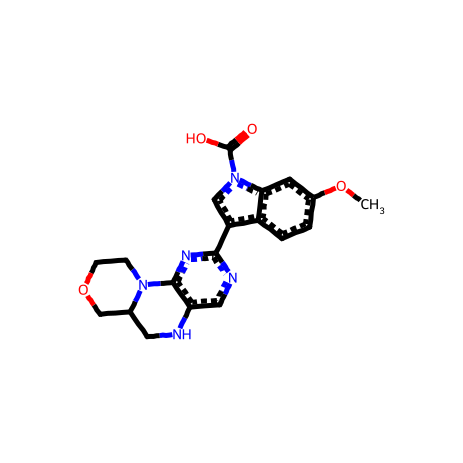 COc1ccc2c(-c3ncc4c(n3)N3CCOCC3CN4)cn(C(=O)O)c2c1